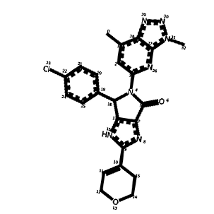 Cc1cc(N2C(=O)c3nc(C4=CCOCC4)[nH]c3C2c2ccc(Cl)cc2)nc2c1nnn2C